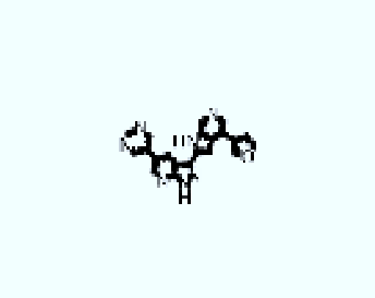 c1ncc(-c2cnc3[nH]nc(-c4cc5c(-c6ccoc6)cncc5[nH]4)c3c2)cn1